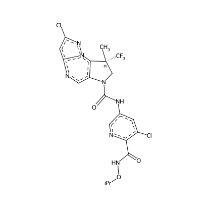 CC(C)ONC(=O)c1ncc(NC(=O)N2C[C@@](C)(C(F)(F)F)c3c2cnc2cc(Cl)nn32)cc1Cl